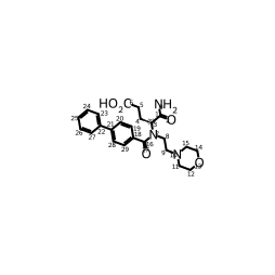 NC(=O)[C@H](CCC(=O)O)N(CCN1CCOCC1)C(=O)c1ccc(-c2ccccc2)cc1